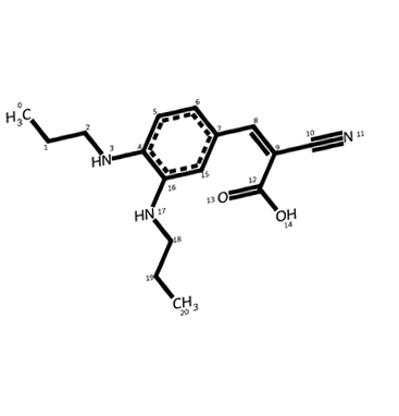 CCCNc1ccc(C=C(C#N)C(=O)O)cc1NCCC